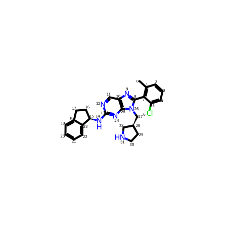 Cc1cccc(Cl)c1-c1nc2cnc(N[C@@H]3CCc4ccccc43)nc2n1C[C@H]1CCNC1